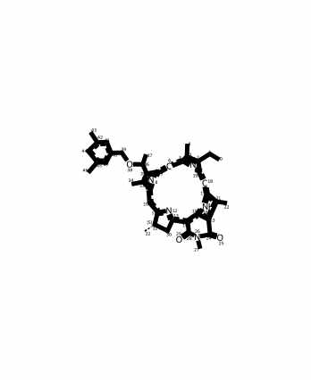 CCC1=C(C)c2cc3[nH]c(cc4nc(c5c6[nH]c(cc1n2)c(C)c6C(=O)N(C)C5=O)C[C@@H]4C)c(C)c3C(C)OCc1cc(C)cc(C)c1